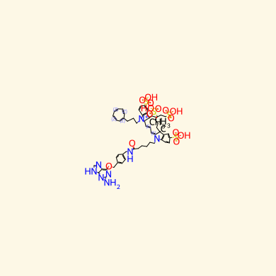 CC1(CCCCS(=O)(=O)O)C(/C=C/C=C2/N(CCCCCC(=O)NCc3ccc(COc4nc(N)nc5[nH]cnc45)cc3)c3ccc(S(=O)(=O)O)cc3C2(C)CCCCS(=O)(=O)O)=[N+](CCCC2=C/C=C\C=C/C=C\2)c2ccc(S(=O)(=O)O)cc21